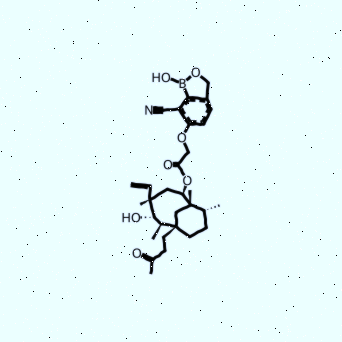 C=C[C@]1(C)C[C@@H](OC(=O)COc2ccc3c(c2C#N)B(O)OC3)[C@@]2(C)C[C@](CCC(C)=O)(CC[C@H]2C)[C@@H](C)[C@@H]1O